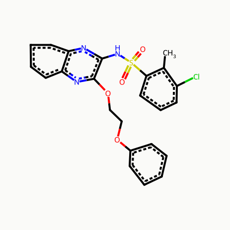 Cc1c(Cl)cccc1S(=O)(=O)Nc1nc2ccccc2nc1OCCOc1ccccc1